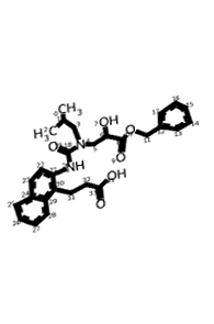 CC(C)CN(CC(O)C(=O)OCc1ccccc1)C(=O)Nc1ccc2ccccc2c1CCC(=O)O